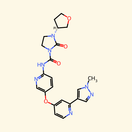 Cn1cc(-c2cc(Oc3ccc(NC(=O)N4CCN([C@@H]5CCOC5)C4=O)nc3)ccn2)cn1